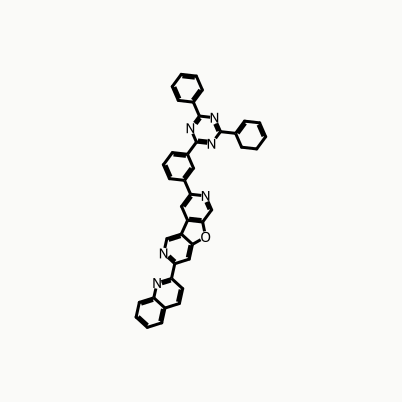 C1=CCCC(c2nc(-c3ccccc3)nc(-c3cccc(-c4cc5c(cn4)oc4cc(-c6ccc7ccccc7n6)ncc45)c3)n2)=C1